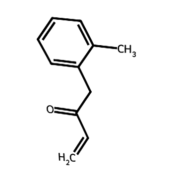 C=CC(=O)Cc1ccccc1C